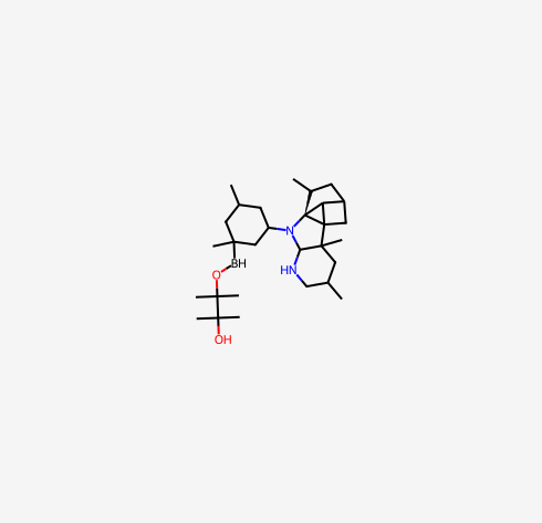 CC1CC(N2C3NCC(C)CC3(C)C34CC5CC(C)[C@]23C54)CC(C)(BOC(C)(C)C(C)(C)O)C1